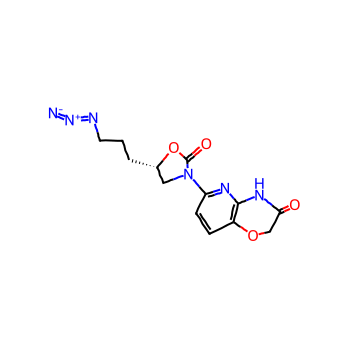 [N-]=[N+]=NCCC[C@H]1CN(c2ccc3c(n2)NC(=O)CO3)C(=O)O1